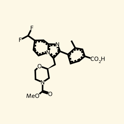 COC(=O)N1CCO[C@@H](Cc2c(-c3ccc(C(=O)O)cc3C)nc3cc(C(F)F)ccn23)C1